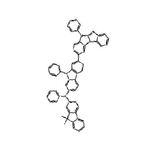 CC1(C)c2ccccc2-c2ccc(N(c3ccccc3)c3ccc4c5ccc(-c6ccc7c(c6)n6c8ccccc8nc6n7-c6ccccc6)cc5n(-c5ccccc5)c4c3)cc21